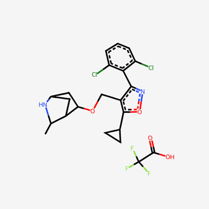 CC1NC2CC(OCc3c(-c4c(Cl)cccc4Cl)noc3C3CC3)C1C2.O=C(O)C(F)(F)F